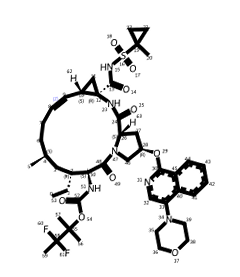 CC[C@@H]1C[C@@H](C)CC/C=C\[C@@H]2C[C@@]2(C(=O)NS(=O)(=O)C2(C)CC2)NC(=O)[C@@H]2C[C@@H](Oc3ncc(N4CCOCC4)c4ccccc34)CN2C(=O)[C@H]1NC(=O)OC(C)(C)C(C)(F)F